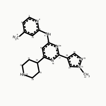 Cc1ccnc(Nc2cc(C3CCNCC3)nc(-c3cnn(C)c3)n2)c1